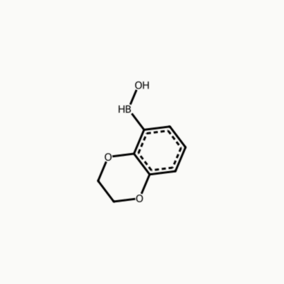 OBc1cccc2c1OCCO2